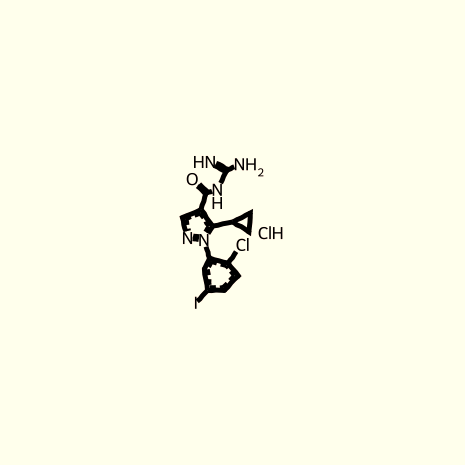 Cl.N=C(N)NC(=O)c1cnn(-c2cc(I)ccc2Cl)c1C1CC1